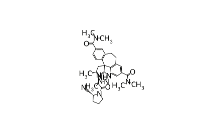 C[C@@H](CC1(c2nnn(C)n2)c2ccc(C(=O)N(C)C)cc2CCc2cc(C(=O)N(C)C)ccc21)NCC(=O)N1CCC[C@H]1C#N